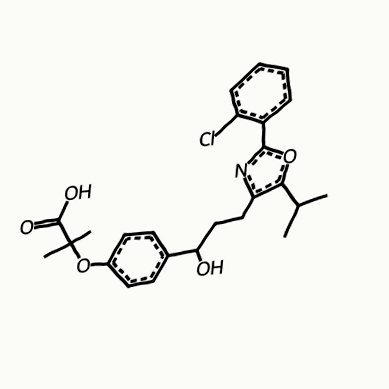 CC(C)c1oc(-c2ccccc2Cl)nc1CCC(O)c1ccc(OC(C)(C)C(=O)O)cc1